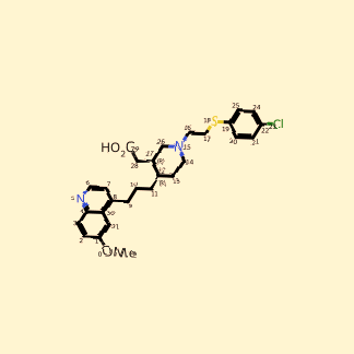 COc1ccc2nccc(CCC[C@@H]3CCN(CCSc4ccc(Cl)cc4)C[C@@H]3CC(=O)O)c2c1